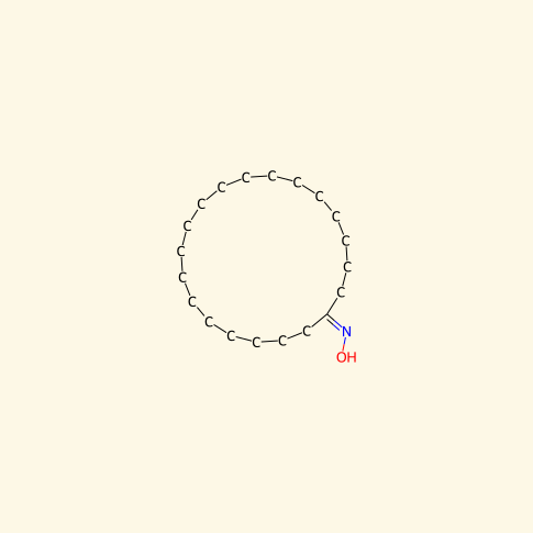 ON=C1CCCCCCCCCCCCCCCCCCC1